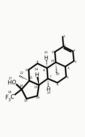 CC1=CCC2CC[C@@H]3[C@@H](CC[C@@]4(C)[C@H]3CCC4(O)C(F)(F)F)[C@@]2(C)C1